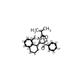 CC(C)C(=O)NC(C1CCCc2cccc(F)c21)S(=O)(=O)c1ccccc1